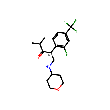 CC(C)C(=O)[C@H](CNC1CCOCC1)c1ccc(C(F)(F)F)cc1F